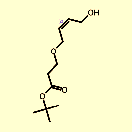 CC(C)(C)OC(=O)CCOC/C=C\CO